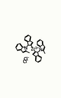 Cc1cc2ccccc2n1C1[C]([Zr+2][C]2=Cc3ccccc3C2n2c(C)cc3ccccc32)=Cc2ccccc21.[Cl-].[Cl-]